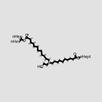 CCCCCCCOC(=O)CCCCCCCCCN(CCO)CCCCCCCCCCCC(=O)OC(CCCCCC)CCCCCC